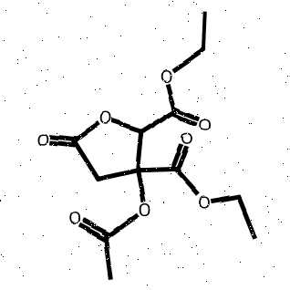 CCOC(=O)C1OC(=O)CC1(OC(C)=O)C(=O)OCC